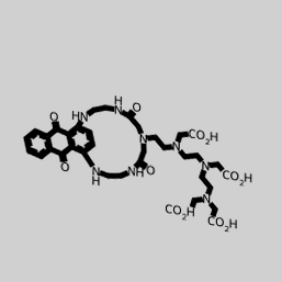 O=C(O)CN(CCN(CCN1CC(=O)NCCNc2ccc(c3c2C(=O)c2ccccc2C3=O)NCCNC(=O)C1)CC(=O)O)CCN(CC(=O)O)CC(=O)O